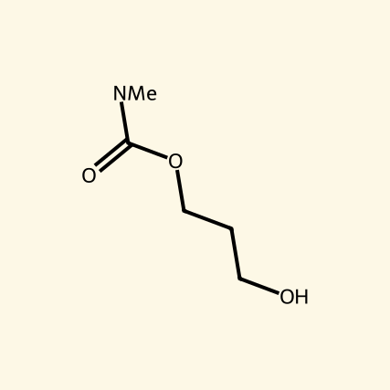 CNC(=O)OCCCO